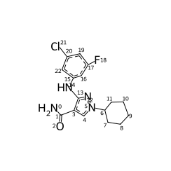 NC(=O)c1cn(C2CCCCC2)nc1Nc1cc(F)cc(Cl)c1